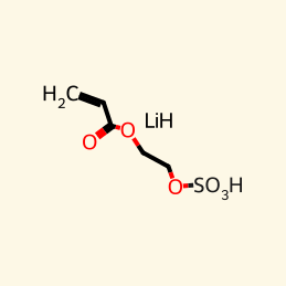 C=CC(=O)OCCOS(=O)(=O)O.[LiH]